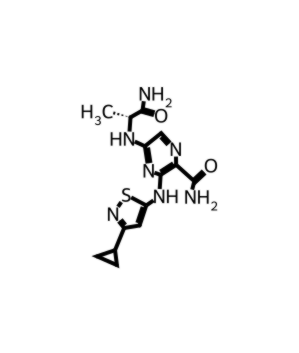 C[C@@H](Nc1cnc(C(N)=O)c(Nc2cc(C3CC3)ns2)n1)C(N)=O